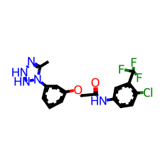 CC1=NNNN1c1cccc(OCC(=O)Nc2ccc(Cl)c(C(F)(F)F)c2)c1